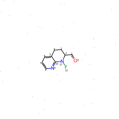 O=CC1CCc2cccnc2N1F